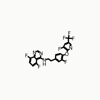 Fc1cc(CCNc2ncnc3c(F)ccc(F)c23)ccc1Oc1ncc(C(F)(F)F)cc1F